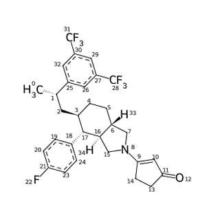 C[C@@H](C[C@H]1CC[C@@H]2CN(C3=CC(=O)CC3)C[C@H]2[C@@H]1c1ccc(F)cc1)c1cc(C(F)(F)F)cc(C(F)(F)F)c1